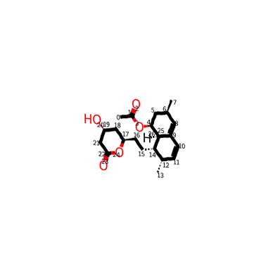 CC(=O)O[C@H]1C[C@@H](C)C=C2C=C[C@H](C)[C@H](CC[C@@H]3C[C@@H](O)CC(=O)O3)[C@H]21